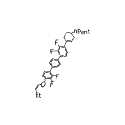 CC/C=C\Oc1ccc(-c2ccc(-c3ccc(C4=CCC(CCCCC)CC4)c(F)c3F)cc2)c(F)c1F